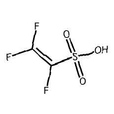 O=S(=O)(O)C(F)=C(F)F